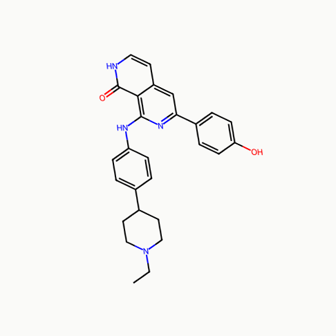 CCN1CCC(c2ccc(Nc3nc(-c4ccc(O)cc4)cc4cc[nH]c(=O)c34)cc2)CC1